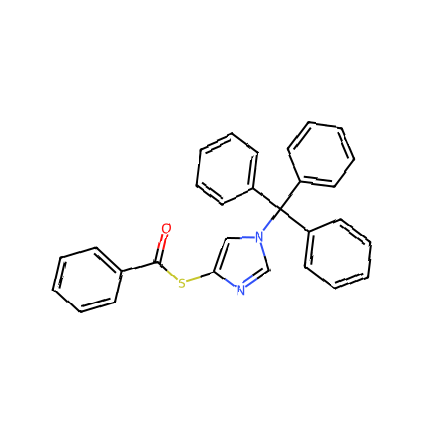 O=C(Sc1cn(C(c2ccccc2)(c2ccccc2)c2ccccc2)cn1)c1ccccc1